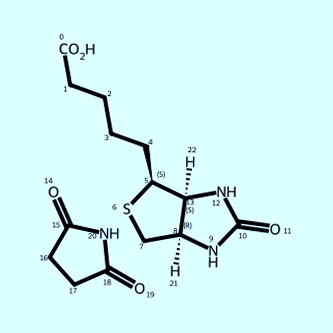 O=C(O)CCCC[C@@H]1SC[C@@H]2NC(=O)N[C@@H]21.O=C1CCC(=O)N1